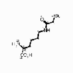 CC(C)(C)CC(=O)NCCCC[C@H](N)C(=O)O